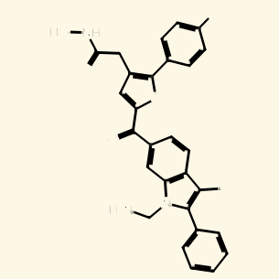 NCn1c(-c2ccccc2)c(F)c2ccc(C(=O)c3cc(CC(=O)NO)c(-c4ccc(O)cc4)s3)cc21